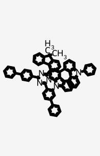 CC1(C)c2ccccc2-c2c(-c3nc(-c4ccc(-c5ccccc5)cc4)nc(-c4ccc(-c5ccccc5)cc4-n4c5ccccc5c5c(-c6cccc7c6c6ccccc6n7-c6ccccc6)cccc54)n3)cccc21